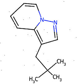 CC(C)(C)Cc1cnn2ccccc12